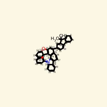 CC1(C)c2ccccc2-c2ccc(-c3cc4oc5ccccc5c4c4c3ccc3c5ccccc5n(-c5ccccc5)c34)cc21